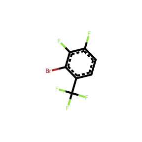 Fc1ccc(C(F)(F)F)c(Br)c1F